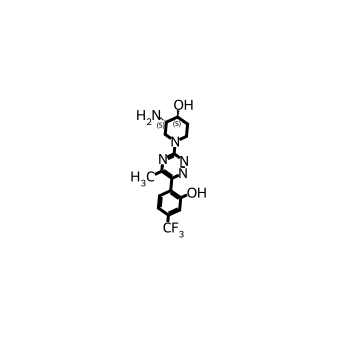 Cc1nc(N2CC[C@H](O)[C@@H](N)C2)nnc1-c1ccc(C(F)(F)F)cc1O